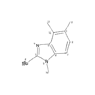 Cc1ccc2c(nc(C(C)(C)C)n2C)c1C